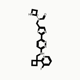 O=CN(Cc1cnc(-c2ccc(NCC3(c4ncccc4F)CCC3)nn2)s1)[C@H]1CCN1